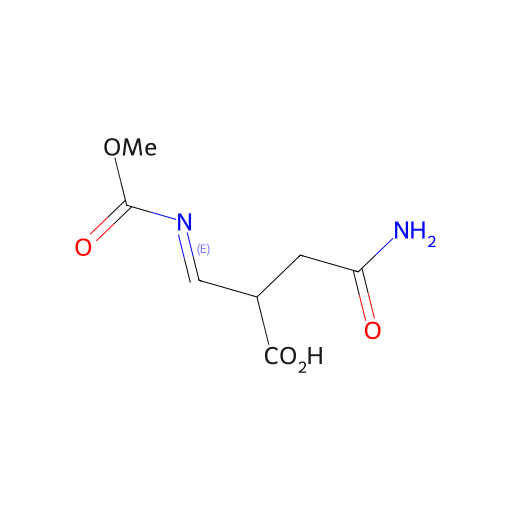 COC(=O)/N=C/C(CC(N)=O)C(=O)O